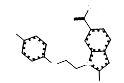 NC(=O)c1ccc2cc(O)n(CCOc3ccc(F)cc3)c2c1